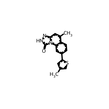 Cc1csc(-c2ccc3c(C)cc4n[nH]c(=O)n4c3c2)c1